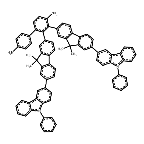 CC1(C)c2cc(-c3ccc4c(c3)c3ccccc3n4-c3ccccc3)ccc2-c2ccc(-c3c(N)ccc(-c4ccc(N)cc4)c3-c3ccc4c(c3)C(C)(C)c3cc(-c5ccc6c(c5)c5ccccc5n6-c5ccccc5)ccc3-4)cc21